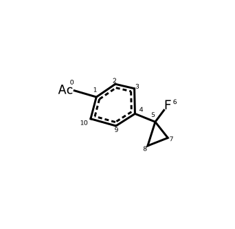 CC(=O)c1ccc(C2(F)CC2)cc1